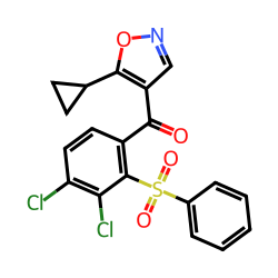 O=C(c1cnoc1C1CC1)c1ccc(Cl)c(Cl)c1S(=O)(=O)c1ccccc1